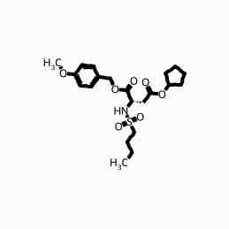 CCCCS(=O)(=O)N[C@@H](CC(=O)OC1CCCC1)C(=O)OCc1ccc(OC)cc1